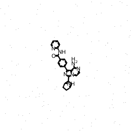 Nc1nccn2c(C3CC4CCC3N4)nc(-c3ccc(C(=O)Nc4ccccn4)cc3)c12